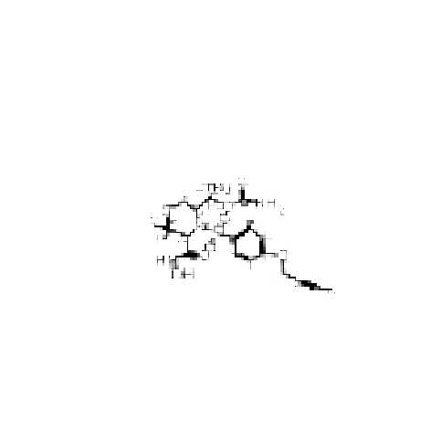 CC#CCOc1ccc(S(=O)(=O)N2C(C(OC(N)=O)C(C)(C)C)CSC(C)(C)[C@@H]2C(=O)NO)cc1